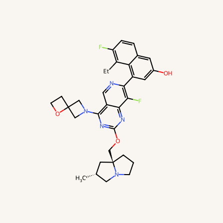 CCc1c(F)ccc2cc(O)cc(-c3ncc4c(N5CC6(CCO6)C5)nc(OC[C@@]56CCCN5C[C@H](C)C6)nc4c3F)c12